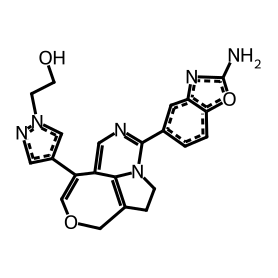 Nc1nc2cc(C3=NC=C4C(c5cnn(CCO)c5)=COCC5=C4N3CC5)ccc2o1